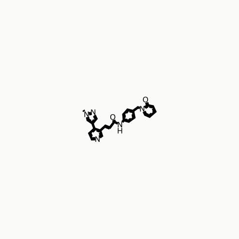 Cn1cc(-c2ccncc2C=CC(=O)Nc2ccc(Cn3ccccc3=O)cc2)cn1